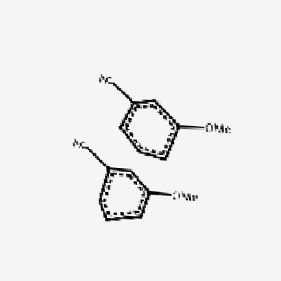 COc1cccc(C(C)=O)c1.COc1cccc(C(C)=O)c1